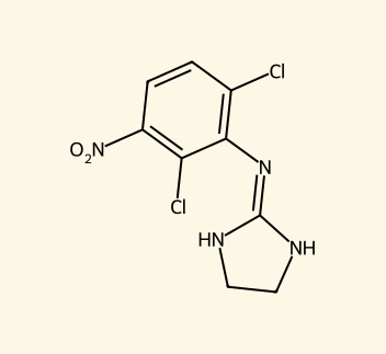 O=[N+]([O-])c1ccc(Cl)c(N=C2NCCN2)c1Cl